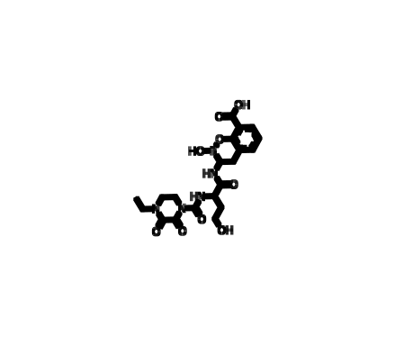 CCN1CCN(C(=O)NC(CCO)C(=O)NC2Cc3cccc(C(=O)O)c3OB2O)C(=O)C1=O